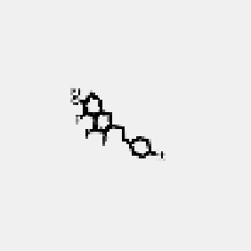 CCOc1ccc2cc(CCC3CCC(CC)CC3)c(F)c(F)c2c1F